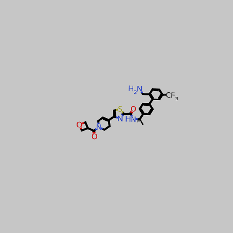 C[C@@H](NC(=O)c1nc(C2=CCN(C(=O)C3COC3)CC2)cs1)c1ccc(-c2cc(C(F)(F)F)ccc2CN)cc1